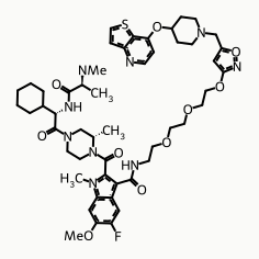 CN[C@@H](C)C(=O)N[C@H](C(=O)N1CCN(C(=O)c2c(C(=O)NCCOCCOCCOc3cc(CN4CCC(Oc5ccnc6ccsc56)CC4)on3)c3cc(F)c(OC)cc3n2C)[C@@H](C)C1)C1CCCCC1